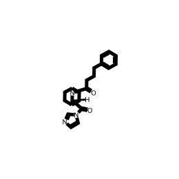 O=C(CCCc1ccccc1)N1C2CCC(CC2)[C@H]1C(=O)n1ccnc1